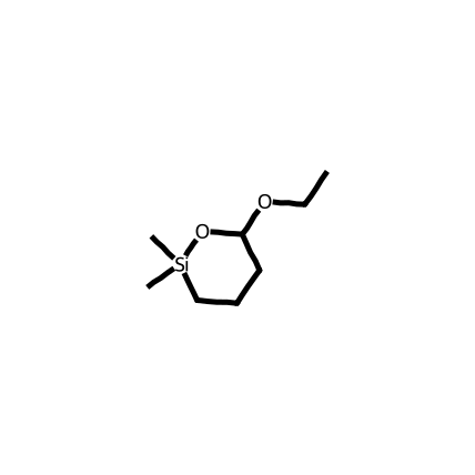 CCOC1CCC[Si](C)(C)O1